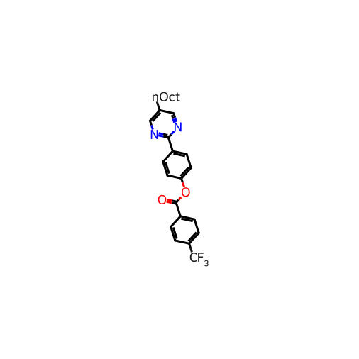 CCCCCCCCc1cnc(-c2ccc(OC(=O)c3ccc(C(F)(F)F)cc3)cc2)nc1